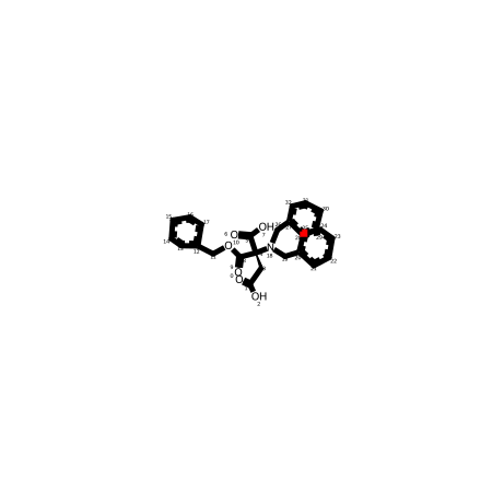 O=C(O)C[C@](C(=O)O)(C(=O)OCc1ccccc1)N(Cc1ccccc1)Cc1ccccc1